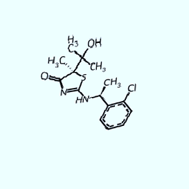 C[C@H](NC1=NC(=O)[C@@](C)(C(C)(C)O)S1)c1ccccc1Cl